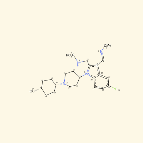 CON=Cc1c(CNC(=O)O)n(C2CCN([C@H]3CC[C@@H](C(C)(C)C)CC3)CC2)c2ccc(F)cc12